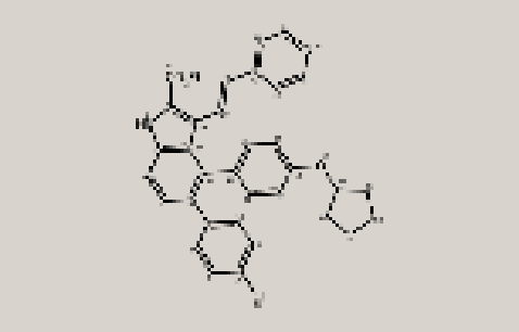 CCOC(=O)c1[nH]c2ccc(-c3ccc(C(F)(F)F)cc3)c(-c3ccc(OC4CCCC4)cc3)c2c1C=Cc1ccncc1